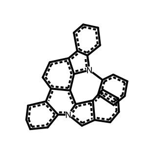 c1ccc(-n2c3ccccc3c3ccc4c5ccccc5n5cc6ccccc6c5c4c32)cc1